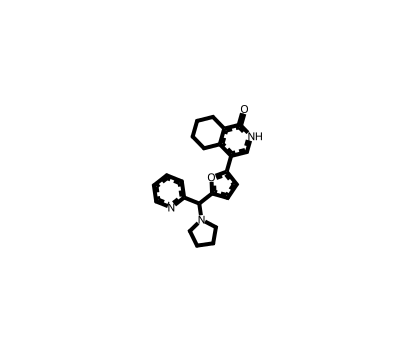 O=c1[nH]cc(-c2ccc(C(c3ccccn3)N3CCCC3)o2)c2c1CCCC2